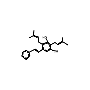 CC(C)=CCc1c(O)cc(C=Cc2ccccc2)c(CC=C(C)C)c1O